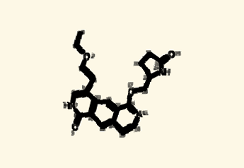 CCOC=Cc1c[nH]c(=O)c2cc3ccnc(OCC4CCC(=O)N4)c3cc12